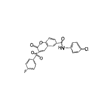 O=C(Nc1ccc(Cl)cc1)c1ccc2oc(=O)c(S(=O)(=O)c3ccc(F)cc3)cc2c1